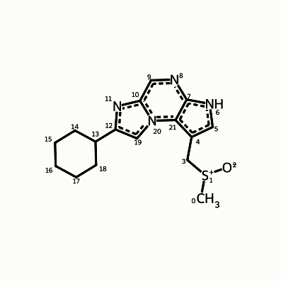 C[S+]([O-])Cc1c[nH]c2ncc3nc(C4CCCCC4)cn3c12